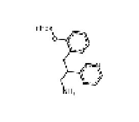 CCCCCCOc1ccccc1CC(CN)c1cccnc1